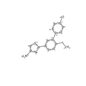 CCc1ccc(-c2nc(N)cs2)cc1-c1ccc(Cl)cc1